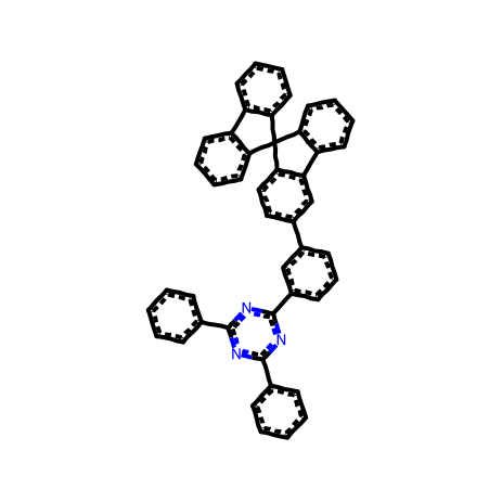 c1ccc(-c2nc(-c3ccccc3)nc(-c3cccc(-c4ccc5c(c4)-c4ccccc4C54c5ccccc5-c5ccccc54)c3)n2)cc1